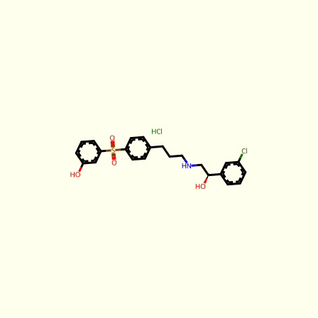 Cl.O=S(=O)(c1ccc(CCCNC[C@H](O)c2cccc(Cl)c2)cc1)c1cccc(O)c1